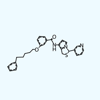 O=C(Nc1ccn2c1CSC2c1cccnc1)c1cccc(OCCCCCc2ccccc2)c1